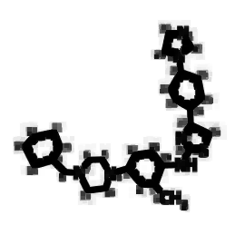 Cc1cc(N2CCN(Cc3ccccc3)CC2)ccc1Nc1nc(-c2ccc(-n3ccnc3)cc2)cs1